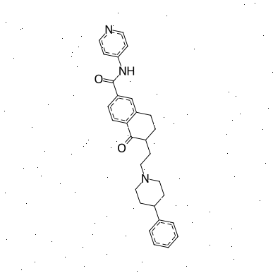 O=C(Nc1ccncc1)c1ccc2c(c1)CCC(CCN1CCC(c3ccccc3)CC1)C2=O